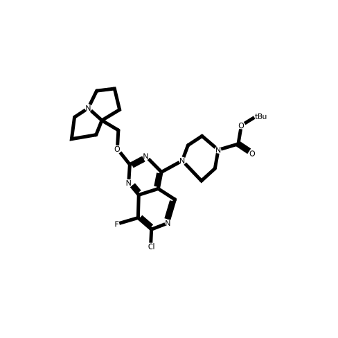 CC(C)(C)OC(=O)N1CCN(c2nc(OCC34CCCN3CCC4)nc3c(F)c(Cl)ncc23)CC1